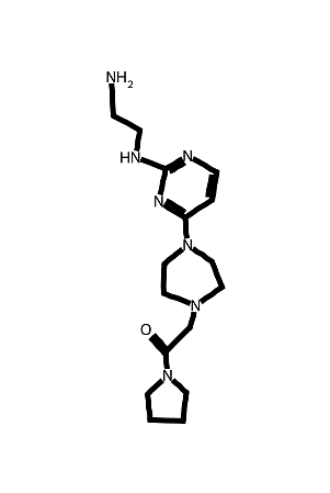 NCCNc1nccc(N2CCN(CC(=O)N3CCCC3)CC2)n1